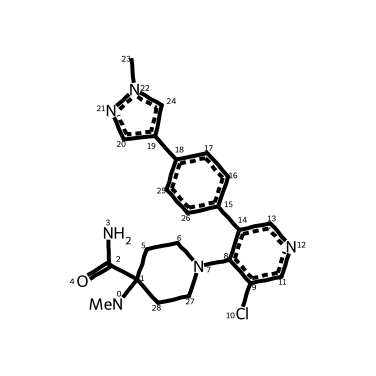 CNC1(C(N)=O)CCN(c2c(Cl)cncc2-c2ccc(-c3cnn(C)c3)cc2)CC1